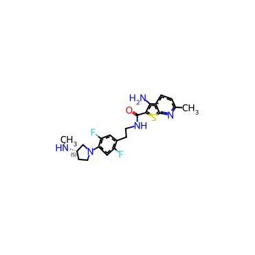 CN[C@H]1CCN(c2cc(F)c(CCNC(=O)c3sc4nc(C)ccc4c3N)cc2F)C1